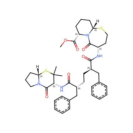 COC(=O)[C@@H]1CCC[C@@H]2SCC[C@H](NC(=O)[C@H](CC[C@H](Cc3ccccc3)C(=O)N[C@@H]3C(=O)N4CCC[C@@H]4SC3(C)C)Cc3ccccc3)C(=O)N21